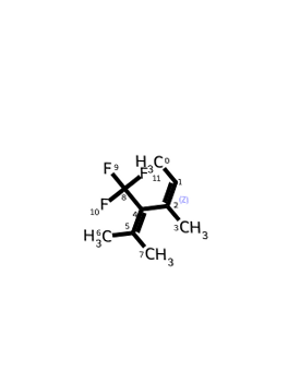 C/C=C(/C)C(=C(C)C)C(F)(F)F